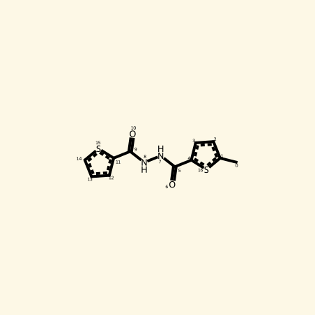 Cc1ccc(C(=O)NNC(=O)c2cccs2)s1